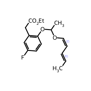 C/C=C/C=C\OC(C)Oc1ccc(F)cc1CC(=O)OCC